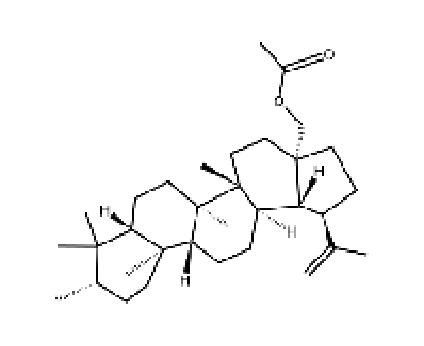 C=C(C)[C@@H]1CC[C@]2(COC(C)=O)CC[C@]3(C)[C@H](CC[C@@H]4[C@@]5(C)CC[C@H](C)C(C)(C)[C@@H]5CC[C@]43C)[C@@H]12